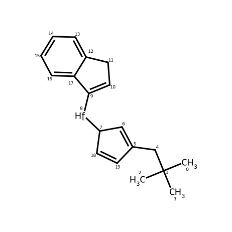 CC(C)(C)CC1=C[CH]([Hf][C]2=CCc3ccccc32)C=C1